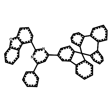 c1ccc(-c2cc(-c3ccc4c(c3)-c3ccccc3C43c4ccccc4-c4ccccc4-c4ccccc43)nc(-c3cccc4oc5ccccc5c34)n2)cc1